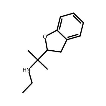 CCNC(C)(C)C1Cc2ccccc2O1